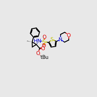 CC(C)(C)OC(=O)[C@@]1(NS(=O)(=O)c2ccc(N3CCOCC3)s2)C[C@@]1(C)c1ccccc1